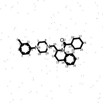 Cc1cccc(N2CCN(CC3CCc4ccccc4N3C(=O)C3CCCCC3)CC2)c1